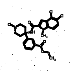 CCOC(=O)c1cccc(C2(NC(=O)c3cc4c(Cl)c(Cl)ccc4n3C)CCN(Cl)CC2)c1